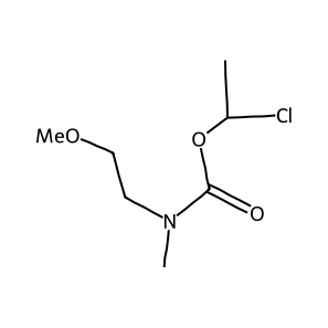 COCCN(C)C(=O)OC(C)Cl